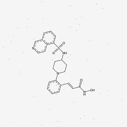 O=C(C=Cc1ccccc1N1CCC(NS(=O)(=O)c2cccc3cnccc23)CC1)NO